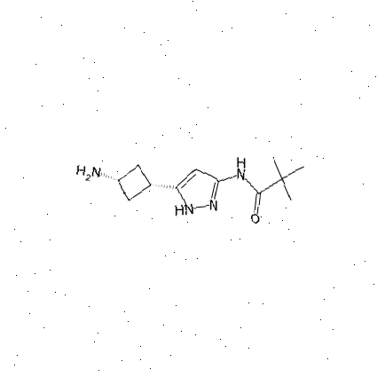 CC(C)(C)C(=O)Nc1cc([C@H]2C[C@@H](N)C2)[nH]n1